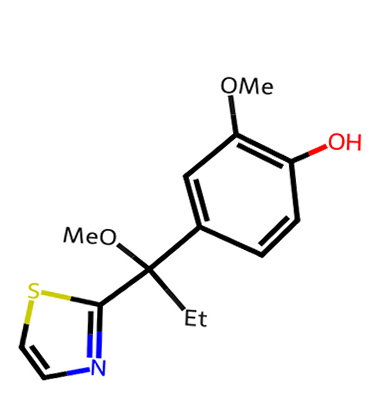 CCC(OC)(c1ccc(O)c(OC)c1)c1nccs1